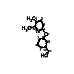 Cc1ccc(Oc2cccc(CO)c2)nc1C